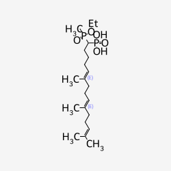 CCOP(C)(=O)C(CCC/C=C(\C)CC/C=C(\C)CCC=C(C)C)P(=O)(O)O